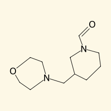 O=CN1CCCC(CN2CCOCC2)C1